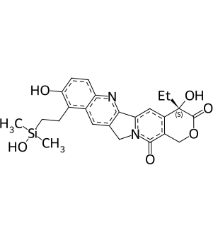 CC[C@@]1(O)C(=O)OCc2c1cc1n(c2=O)Cc2cc3c(CC[Si](C)(C)O)c(O)ccc3nc2-1